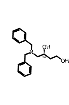 OCC[C@H](O)CN(Cc1ccccc1)Cc1ccccc1